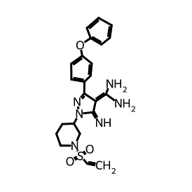 C=CS(=O)(=O)N1CCCC(N2N=C(c3ccc(Oc4ccccc4)cc3)C(=C(N)N)C2=N)C1